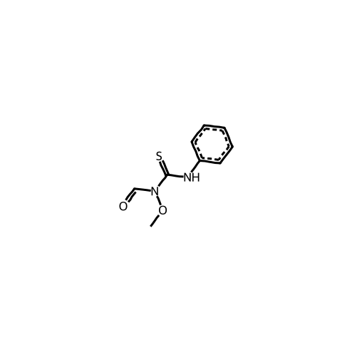 CON(C=O)C(=S)Nc1ccccc1